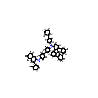 CC1C=CC=CC1c1cc2ccccc2cc1Nc1ccc(-c2ccc(N(c3ccc(-c4ccccc4)cc3)c3ccc4c(c3)C3(C5=C(C=CCC5)c5ccccc53)c3ccccc3-4)cc2)cc1